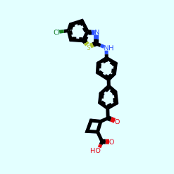 O=C(O)C1CCC1C(=O)c1ccc(-c2ccc(Nc3nc4ccc(Cl)cc4s3)cc2)cc1